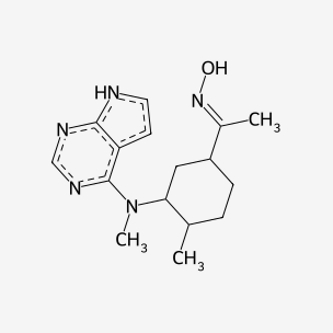 CC(=NO)C1CCC(C)C(N(C)c2ncnc3[nH]ccc23)C1